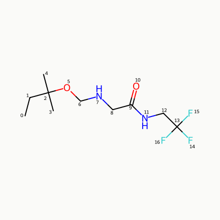 CCC(C)(C)OCNCC(=O)NCC(F)(F)F